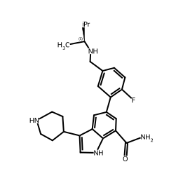 CC(C)[C@H](C)NCc1ccc(F)c(-c2cc(C(N)=O)c3[nH]cc(C4CCNCC4)c3c2)c1